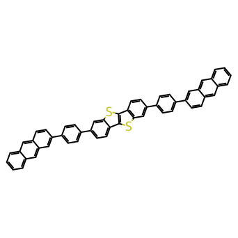 c1ccc2cc3cc(-c4ccc(-c5ccc6c(c5)sc5c7ccc(-c8ccc(-c9ccc%10cc%11ccccc%11cc%10c9)cc8)cc7sc65)cc4)ccc3cc2c1